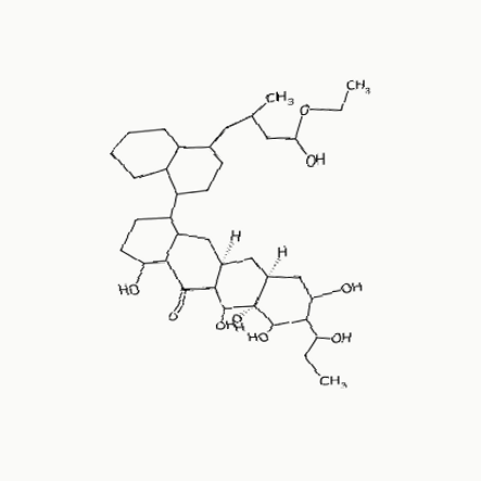 CCOC(O)CC(C)CC1CCC(C2CCC(O)C3C(=O)C4C(O)[C@]5(O)C(O)C(C(O)CC)C(O)C[C@@H]5C[C@@H]4CC23)C2CCCCC12